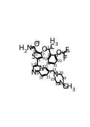 CC(Oc1cc(-c2cnc3ccc(CN4CCN(C)CC4)cn23)sc1C(N)=O)c1ccccc1OC(F)F